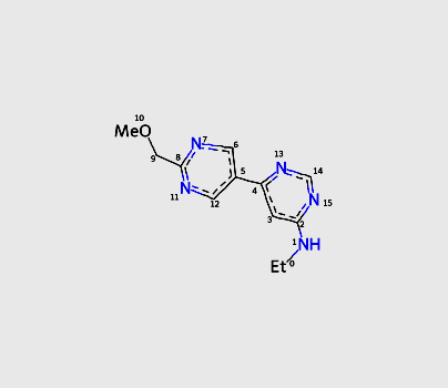 CCNc1cc(-c2cnc(COC)nc2)ncn1